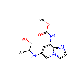 CC(C)[C@@H](CO)Nc1cc(NC(=O)OC(C)(C)C)c2nccn2c1